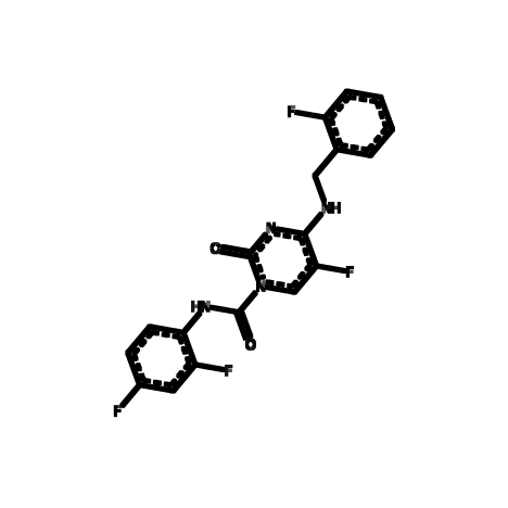 O=C(Nc1ccc(F)cc1F)n1cc(F)c(NCc2ccccc2F)nc1=O